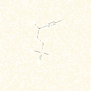 CC#CC(CCP(=O)(CC)CC)C(=O)O